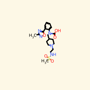 Cc1noc(-c2ccccc2N(CC2CCN(CCNS(C)(=O)=O)CC2)C(=O)O)n1